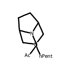 CCCCCN1CC2CCC(C1)N2CC(C)=O